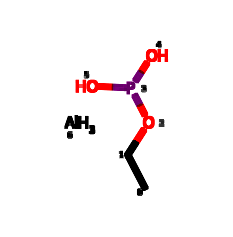 CCOP(O)O.[AlH3]